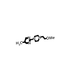 COCCN1CCN(c2ncc(C)cn2)CC1